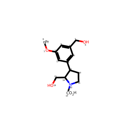 CCCOc1cc(CO)cc(C2CCN(C(=O)O)C2CO)c1